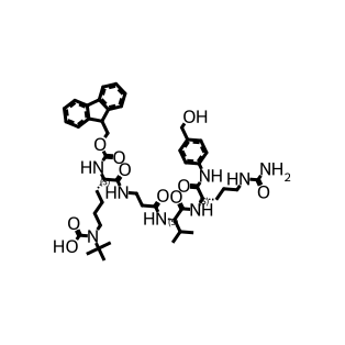 CC(C)[C@H](NC(=O)CCNC(=O)[C@H](CCCCN(C(=O)O)C(C)(C)C)NC(=O)OCC1c2ccccc2-c2ccccc21)C(=O)N[C@@H](CCCNC(N)=O)C(=O)Nc1ccc(CO)cc1